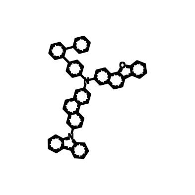 c1ccc(-c2ccccc2-c2ccc(N(c3ccc4c(ccc5cc(-n6c7ccccc7c7ccccc76)ccc54)c3)c3ccc4c(ccc5c6ccccc6oc45)c3)cc2)cc1